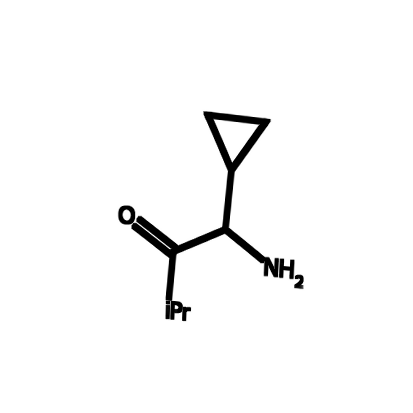 CC(C)C(=O)C(N)C1CC1